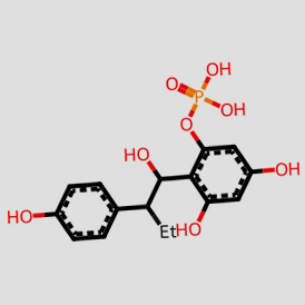 CCC(c1ccc(O)cc1)C(O)c1c(O)cc(O)cc1OP(=O)(O)O